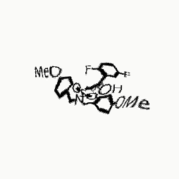 COc1ccc(CN(Cc2ccc(OC)cc2)S(=O)(=O)C[C@H](O)c2cc(F)ccc2F)cc1